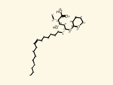 CCCCCCCC/C=C\CCCCCCC[C@H](C[C@H](O)[C@H](CC)C(=O)O)OC1CCCCO1